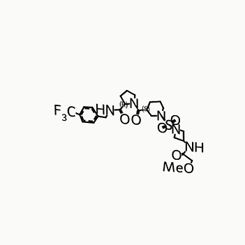 COCC(=O)NC1CN(S(=O)(=O)N2CCC[C@H](C(=O)N3CCC[C@@H]3C(=O)NCc3ccc(C(F)(F)F)cc3)C2)C1